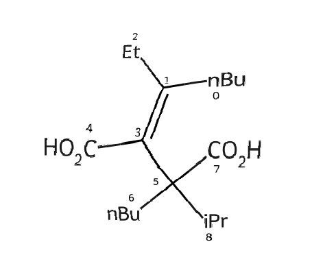 CCCCC(CC)=C(C(=O)O)C(CCCC)(C(=O)O)C(C)C